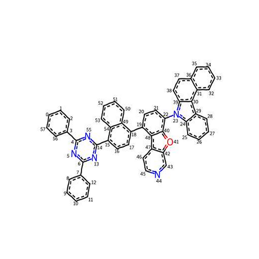 c1ccc(-c2nc(-c3ccccc3)nc(-c3ccc(-c4ccc(-n5c6ccccc6c6c7ccccc7ccc65)c5oc6cnccc6c45)c4ccccc34)n2)cc1